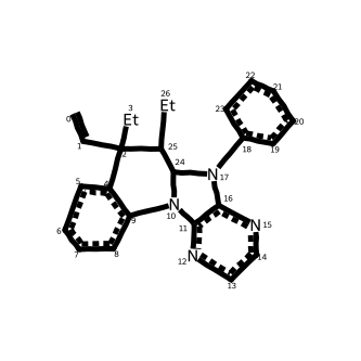 C=CC1(CC)c2ccccc2N2c3nccnc3N(c3ccccc3)C2C1CC